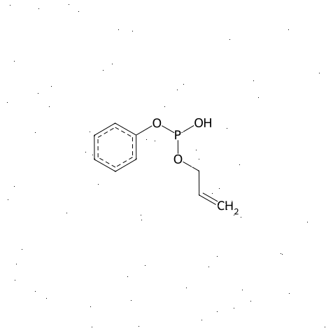 C=CCOP(O)Oc1ccccc1